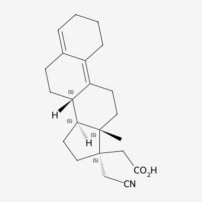 C[C@]12CCC3=C4CCCC=C4CC[C@H]3[C@@H]1CC[C@]2(CC#N)CC(=O)O